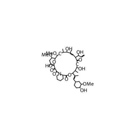 C=CC(O)C1/C=C(/C)C(O)C(C)CC(OC)C2OC(O)(C(=O)C(=O)N3CCCCC3C(=O)OC(/C(C)=C/C3CCC(O)C(OC)C3)C(C)C(O)CC1=O)C(C)CC2OC